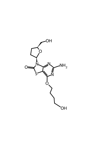 Nc1nc(OCCCCO)c2sc(=O)n([C@H]3CC[C@@H](CO)O3)c2n1